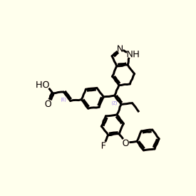 CC/C(=C(\C1=Cc2cn[nH]c2CC1)c1ccc(/C=C/C(=O)O)cc1)c1ccc(F)c(Oc2ccccc2)c1